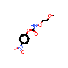 COCCONC(=O)Oc1ccc([N+](=O)[O-])cc1